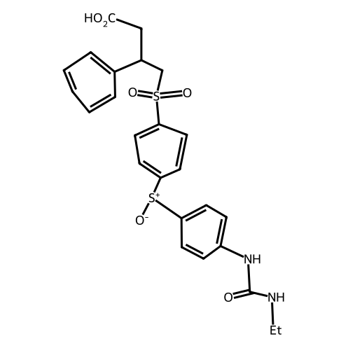 CCNC(=O)Nc1ccc([S+]([O-])c2ccc(S(=O)(=O)CC(CC(=O)O)c3ccccc3)cc2)cc1